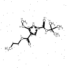 CCCOC(=O)c1cn(C(=O)OC(C)(C)C)nc1OC